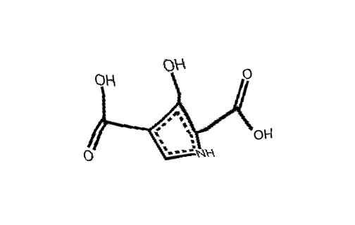 O=C(O)c1c[nH]c(C(=O)O)c1O